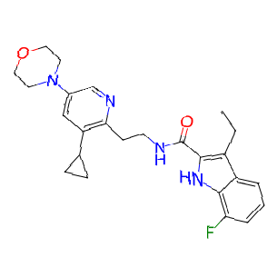 CCc1c(C(=O)NCCc2ncc(N3CCOCC3)cc2C2CC2)[nH]c2c(F)cccc12